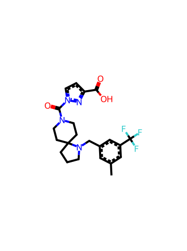 Cc1cc(CN2CCCC23CCN(C(=O)n2ccc(C(=O)O)n2)CC3)cc(C(F)(F)F)c1